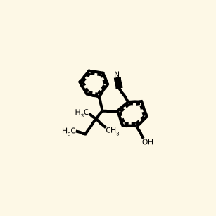 CCC(C)(C)C(c1ccccc1)c1cc(O)ccc1C#N